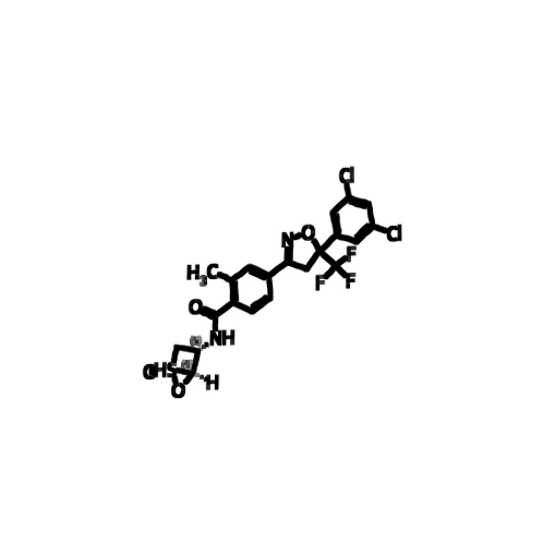 Cc1cc(C2=NOC(c3cc(Cl)cc(Cl)c3)(C(F)(F)F)C2)ccc1C(=O)N[C@H]1C[SH]2(=O)O[C@H]12